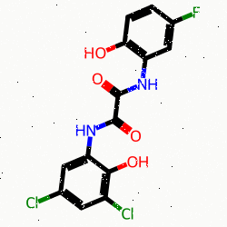 O=C(Nc1cc(F)ccc1O)C(=O)Nc1cc(Cl)cc(Cl)c1O